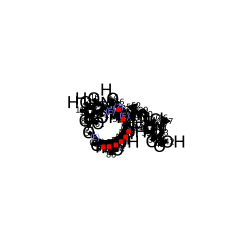 CO[C@H]1/C=C/O[C@@]2(C)Oc3c(C)c(O)c4c(O)c(c(/C=N/N5CCC(N(C)C6(C7CCN(c8c(F)cc9c(=O)c(C(=O)O)cn(C%10CC%10)c9c8Cl)C7)CC6)CC5)c(O)c4c3C2=O)NC(=O)/C(C)=C\C=C\[C@H](C)[C@H](O)[C@@H](C)[C@@H](O)[C@@H](C)[C@H](OC(C)=O)[C@@H]1C